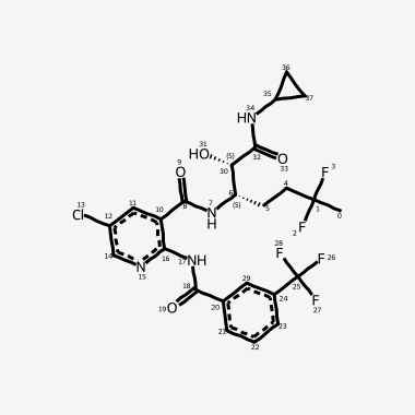 CC(F)(F)CC[C@H](NC(=O)c1cc(Cl)cnc1NC(=O)c1cccc(C(F)(F)F)c1)[C@H](O)C(=O)NC1CC1